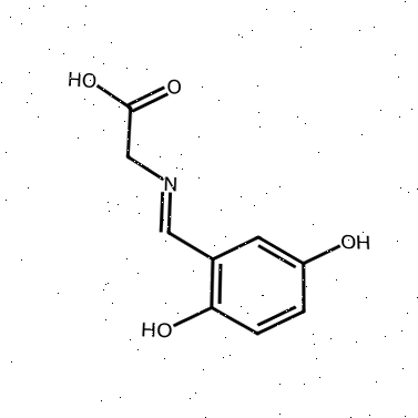 O=C(O)CN=Cc1cc(O)ccc1O